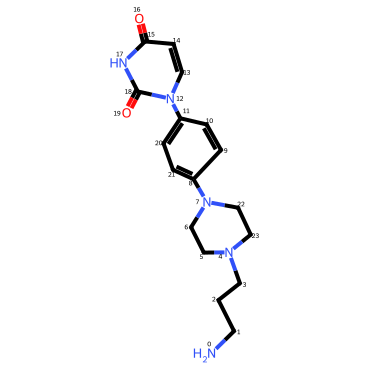 NCCCN1CCN(c2ccc(-n3ccc(=O)[nH]c3=O)cc2)CC1